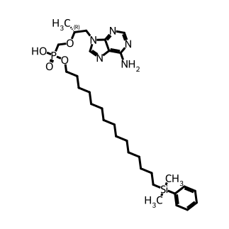 C[C@H](Cn1cnc2c(N)ncnc21)OCP(=O)(O)OCCCCCCCCCCCCCCC[Si](C)(C)c1ccccc1